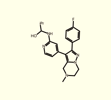 CC(C)C(O)Nc1cc(-c2c(-c3ccc(F)cc3)nn3c2CN(C)CC3)ccn1